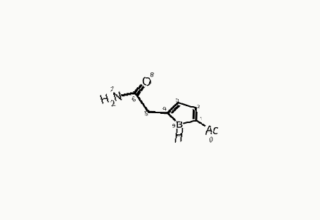 CC(=O)C1=CC=C(CC(N)=O)B1